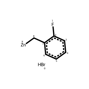 Br.Fc1ccccc1[CH2][Zn]